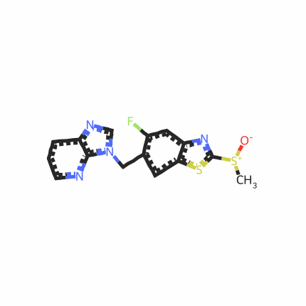 C[S+]([O-])c1nc2cc(F)c(Cn3cnc4cccnc43)cc2s1